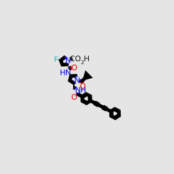 O=C(NC[C@H]1C[C@@H](NC(=O)[C@@H]2C[C@H](F)CN2C(=O)O)CN1C(=O)C1CC1)c1ccc(C#CC#Cc2ccccc2)cc1